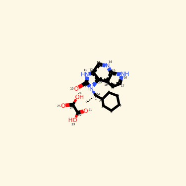 C[C@@H](C1CCCCC1)n1c(=O)[nH]c2cnc3[nH]ccc3c21.O=C(O)C(=O)O